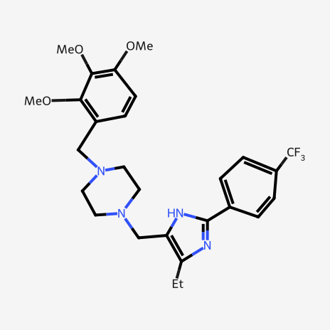 CCc1nc(-c2ccc(C(F)(F)F)cc2)[nH]c1CN1CCN(Cc2ccc(OC)c(OC)c2OC)CC1